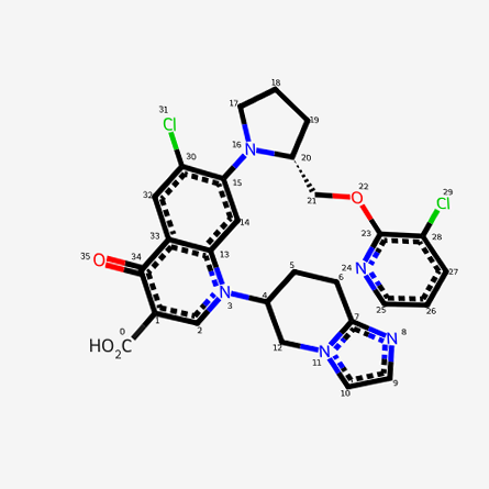 O=C(O)c1cn(C2CCc3nccn3C2)c2cc(N3CCC[C@@H]3COc3ncccc3Cl)c(Cl)cc2c1=O